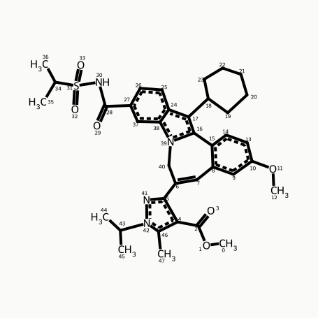 COC(=O)c1c(C2=Cc3cc(OC)ccc3-c3c(C4CCCCC4)c4ccc(C(=O)NS(=O)(=O)C(C)C)cc4n3C2)nn(C(C)C)c1C